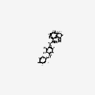 c1ccc(Oc2ccc(CNc3ncnc4nc[nH]c34)cc2)cc1